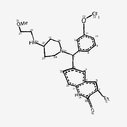 CCc1cc2cc(C(c3cccc(OC(F)(F)F)c3)N3CCC(NCCOC)CC3)ccc2[nH]c1=O